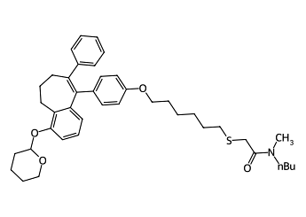 CCCCN(C)C(=O)CSCCCCCCOc1ccc(C2=C(c3ccccc3)CCCc3c(OC4CCCCO4)cccc32)cc1